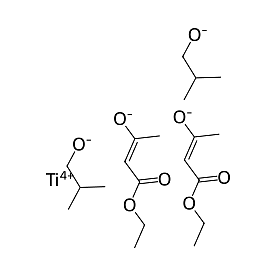 CC(C)C[O-].CC(C)C[O-].CCOC(=O)/C=C(\C)[O-].CCOC(=O)/C=C(\C)[O-].[Ti+4]